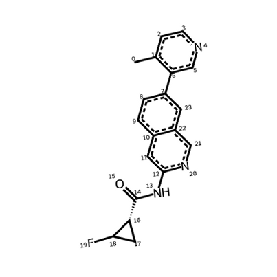 Cc1ccncc1-c1ccc2cc(NC(=O)[C@@H]3CC3F)ncc2c1